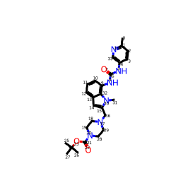 Cc1ccc(NC(=O)Nc2cccc3cc(CN4CCN(C(=O)OC(C)(C)C)CC4)n(C)c23)cn1